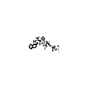 CC(C)C(NC(=O)c1ccc2ccccc2c1)C(=O)N1CCC[C@H]1C(=O)NC(CCCNC(=N)N)C(=O)CF